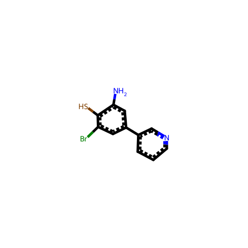 Nc1cc(-c2cccnc2)cc(Br)c1S